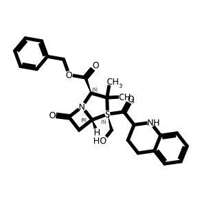 CC1(C)[C@H](C(=O)OCc2ccccc2)N2C(=O)C[C@H]2[S@@]1(CO)C(=O)C1CCc2ccccc2N1